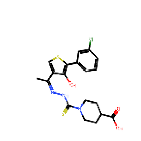 C/C(=N/NC(=S)N1CCC(C(=O)O)CC1)c1csc(-c2cccc(Cl)c2)c1O